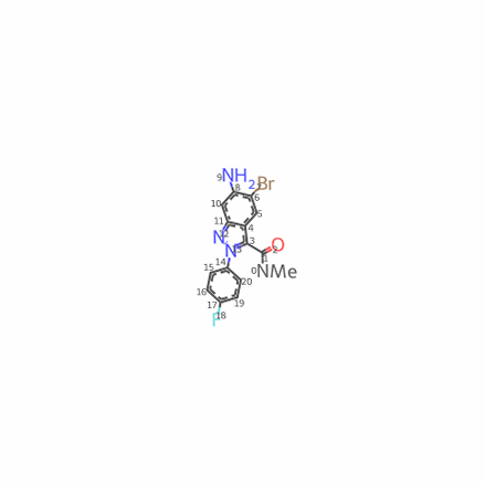 CNC(=O)c1c2cc(Br)c(N)cc2nn1-c1ccc(F)cc1